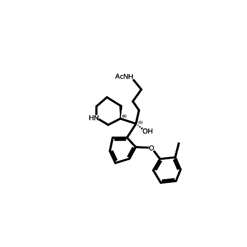 CC(=O)NCCC[C@@](O)(c1ccccc1Oc1ccccc1C)[C@@H]1CCCNC1